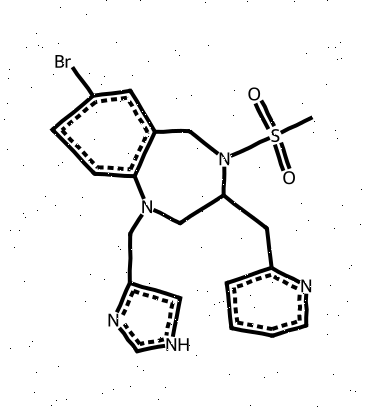 CS(=O)(=O)N1Cc2cc(Br)ccc2N(Cc2c[nH]cn2)CC1Cc1ccccn1